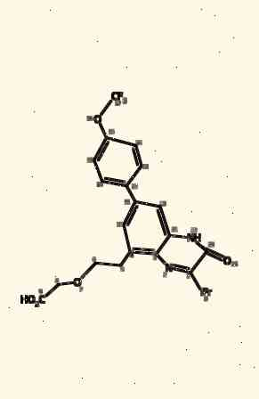 CC(C)c1nc2c(CCOCC(=O)O)cc(-c3ccc(OC(F)(F)F)cc3)cc2[nH]c1=O